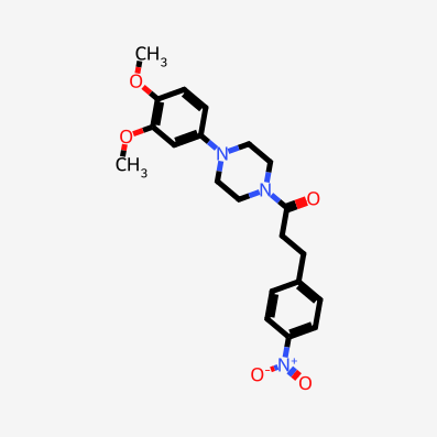 COc1ccc(N2CCN(C(=O)CCc3ccc([N+](=O)[O-])cc3)CC2)cc1OC